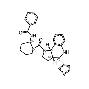 O=C(N[C@@H]1CCCC[C@@H]1C(=O)N1CC[C@H]2[C@@H](c3ccsc3)Nc3ccccc3[C@H]21)c1ccccc1